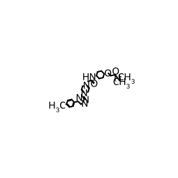 Cc1ccc(-c2cnnc(N3CCN(CC(=O)N[C@H]4CC[C@H](OCC(=O)N(C)C)CC4)CC3)n2)cc1